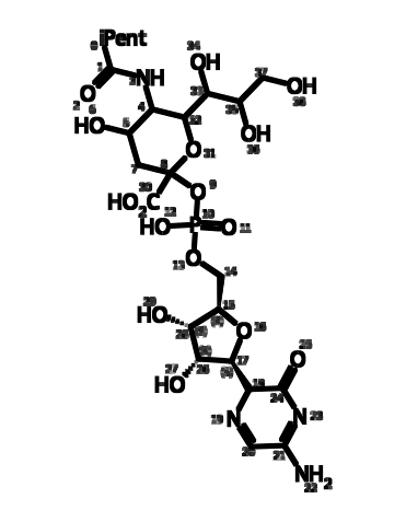 CCCC(C)C(=O)NC1C(O)CC(OP(=O)(O)OC[C@H]2O[C@@H](C3N=CC(N)=NC3=O)[C@H](O)[C@@H]2O)(C(=O)O)OC1C(O)C(O)CO